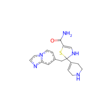 NC(=O)C1=CNC(Cc2ccn3ccnc3c2)(C2=CCNCC2)S1